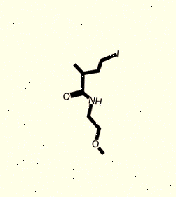 COCCNC(=O)C(C)CCI